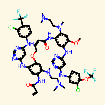 C=CC(=O)Nc1cc(Nc2cc(Nc3ccc(C(F)(F)F)c(Cl)c3)ncn2)c(OC/C=C\C(=O)Nc2cc(Nc3cc(Nc4ccc(OC(F)(F)F)c(Cl)c4)ncn3)c(OC)cc2N(C)CCN(C)C)cc1N(C)CCN(C)C